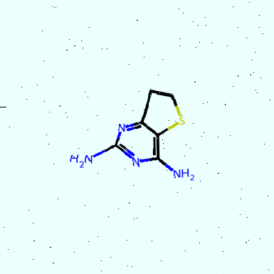 Nc1nc(N)c2c(n1)CCS2